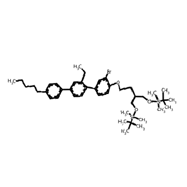 CCCCCc1ccc(-c2ccc(-c3ccc(OCCC(CO[Si](C)(C)C(C)(C)C)CO[Si](C)(C)C(C)(C)C)c(Br)c3)c(CC)c2)cc1